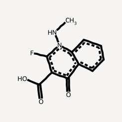 CNn1c(F)c(C(=O)O)c(=O)c2ccccc21